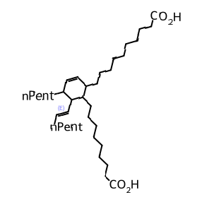 CCCCC/C=C/C1C(CCCCC)C=CC(CCCCCCCCCC(=O)O)C1CCCCCCCCC(=O)O